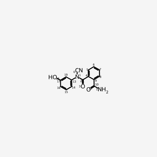 N#CN(C(=O)c1ccccc1C(N)=O)c1cccc(O)c1